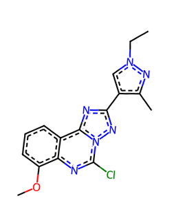 CCn1cc(-c2nc3c4cccc(OC)c4nc(Cl)n3n2)c(C)n1